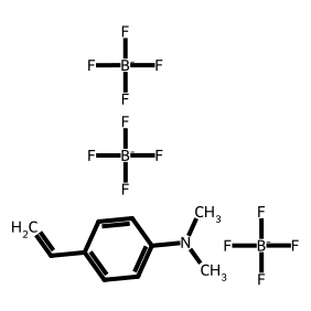 C=Cc1ccc(N(C)C)cc1.F[B-](F)(F)F.F[B-](F)(F)F.F[B-](F)(F)F